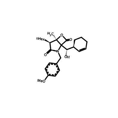 CCCCCC[C@@H]1C(=O)N(Cc2ccc(OC)cc2)C2([C@@H](O)[C@@H]3C=CCCC3)C(=O)O[C@]12C